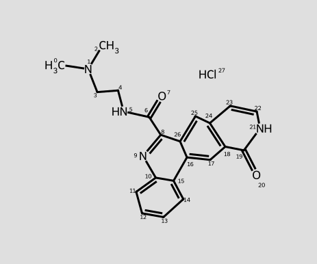 CN(C)CCNC(=O)c1nc2ccccc2c2cc3c(=O)[nH]ccc3cc12.Cl